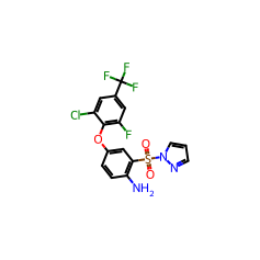 Nc1ccc(Oc2c(F)cc(C(F)(F)F)cc2Cl)cc1S(=O)(=O)n1cccn1